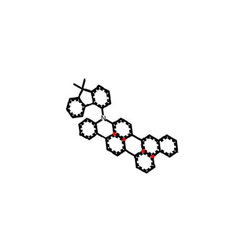 CC1(C)c2ccccc2-c2c(N(c3ccc(-c4ccc5ccccc5c4)cc3)c3ccccc3-c3ccc(-c4ccccc4)cc3)cccc21